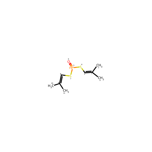 CC(C)=CS[PH](=O)SC=C(C)C